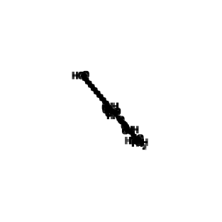 O=C(O)CCCCCCCCCCCCCCCCC(=O)N[C@@H](CCC(=O)NCCOCCOCC(=O)NCCCC[C@H](NP)C(=O)O)C(=O)O